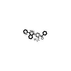 C[C@H]1CN(c2nnc(-c3ccccn3)c3ccccc23)CCN1C(=O)c1ccccc1